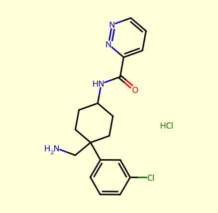 Cl.NCC1(c2cccc(Cl)c2)CCC(NC(=O)c2cccnn2)CC1